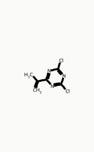 C=C(C)c1nc(Cl)nc(Cl)n1